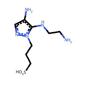 NCCNc1c(N)cnn1CCCS(=O)(=O)O